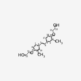 Cc1cc(/C=C/c2ccc(OCCO)c(C)c2)ccc1OCCO